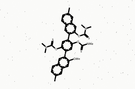 CNC(=S)Oc1cc(-c2cc3ccc(C)cc3cc2OC)c(OC(=S)N(C)C)cc1-c1cc2ccc(C)cc2cc1OC(=S)N(C)C